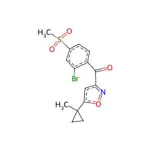 CC1(c2cc(C(=O)c3ccc(S(C)(=O)=O)cc3Br)no2)CC1